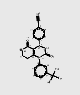 N#Cc1ccc([C@H]2NC(=O)N(c3cccc(C(F)(F)F)c3)C3=C2C(=O)NCC3)cc1